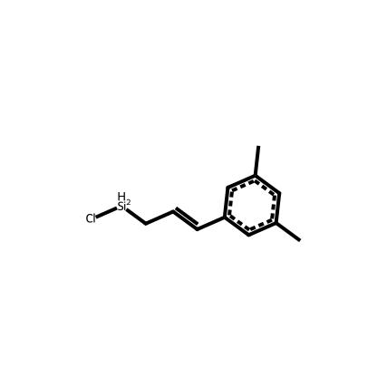 Cc1cc(C)cc(C=CC[SiH2]Cl)c1